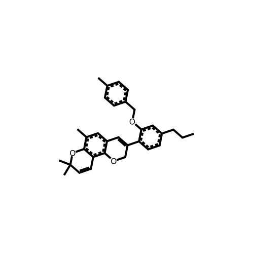 CCCc1ccc(C2=Cc3cc(C)c4c(c3OC2)C=CC(C)(C)O4)c(OCc2ccc(C)cc2)c1